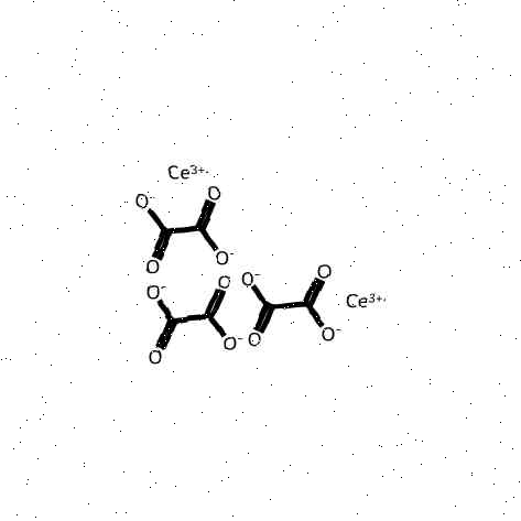 O=C([O-])C(=O)[O-].O=C([O-])C(=O)[O-].O=C([O-])C(=O)[O-].[Ce+3].[Ce+3]